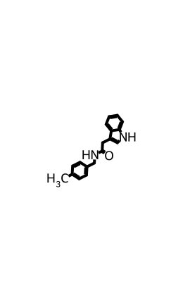 Cc1ccc(CNC(=O)Cc2c[nH]c3ccccc23)cc1